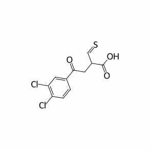 O=C(CC(C=S)C(=O)O)c1ccc(Cl)c(Cl)c1